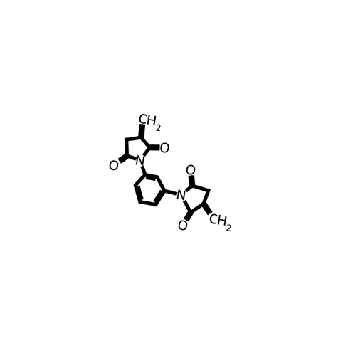 C=C1CC(=O)N(c2cccc(N3C(=O)CC(=C)C3=O)c2)C1=O